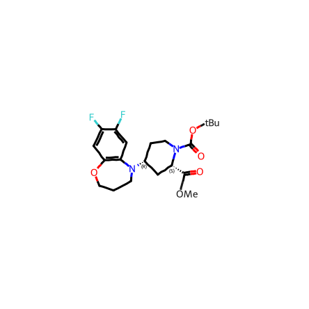 COC(=O)[C@@H]1C[C@H](N2CCCOc3cc(F)c(F)cc32)CCN1C(=O)OC(C)(C)C